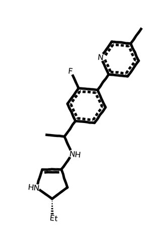 CC[C@H]1CC(NC(C)c2ccc(-c3ccc(C)cn3)c(F)c2)=CN1